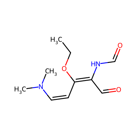 CCOC(/C=C\N(C)C)=C(/C=O)NC=O